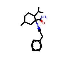 CC1CCC(C(C)C)C([N+]#CCc2ccccc2)(C(N)=O)C1